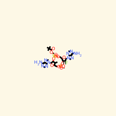 COP1(=O)OCC2O[C@@H](n3cnc4c(N)ncnc43)C(OP(=O)(SCOC(=O)C(C)(C)C)OCC3O[C@@H](n4cnc5c(N)ncnc54)C(F)[C@H]3O1)C2C